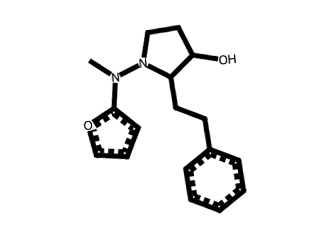 CN(c1ccco1)N1CCC(O)C1CCc1ccccc1